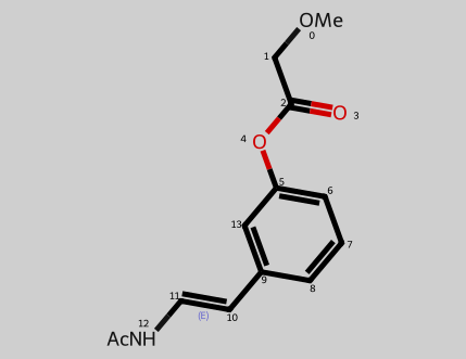 COCC(=O)Oc1cccc(/C=C/NC(C)=O)c1